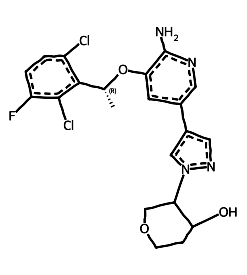 C[C@@H](Oc1cc(-c2cnn(C3COCCC3O)c2)cnc1N)c1c(Cl)ccc(F)c1Cl